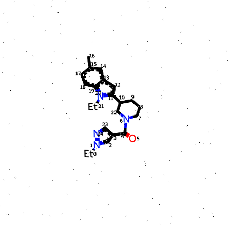 CCn1cc(C(=O)N2CCCC(c3cc4cc(C)ccc4n3CC)C2)cn1